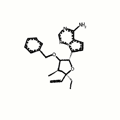 C=C[C@]1(CC)O[C@@H](c2ccc3c(N)ncnn23)C(OCc2ccccc2)[C@@H]1C